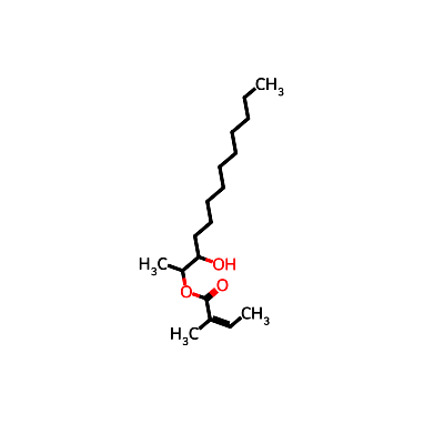 CC=C(C)C(=O)OC(C)C(O)CCCCCCCCCC